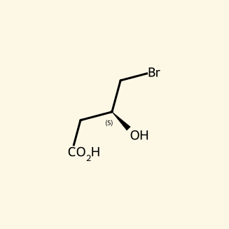 O=C(O)C[C@H](O)CBr